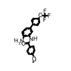 COc1ccc(C(=O)Nc2cc(-c3ccc(OC(F)(F)F)cc3)ccc2N)cc1